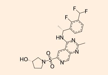 Cc1nc(N[C@H](C)c2cccc(C(F)F)c2F)c2cc(S(=O)(=O)N3CC[C@H](O)C3)ncc2n1